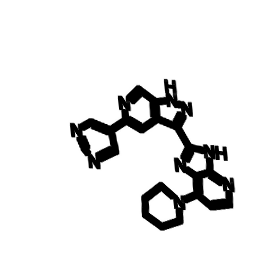 c1ncc(-c2cc3c(-c4nc5c(N6CCCCC6)ccnc5[nH]4)n[nH]c3cn2)cn1